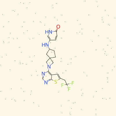 O=c1ccc(NC2CCC3(C2)CN(c2ncnc4sc(CC(F)(F)F)cc24)C3)c[nH]1